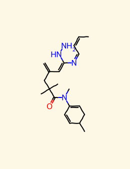 C=C(/C=C(/N=C\C=C/C)NN)CC(C)(C)C(=O)N(C)C1=CCC(C)C=C1